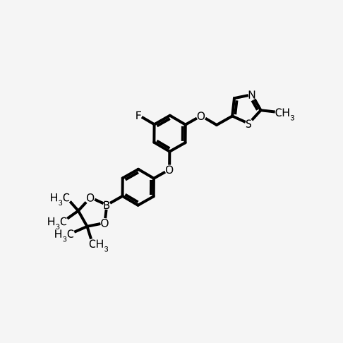 Cc1ncc(COc2cc(F)cc(Oc3ccc(B4OC(C)(C)C(C)(C)O4)cc3)c2)s1